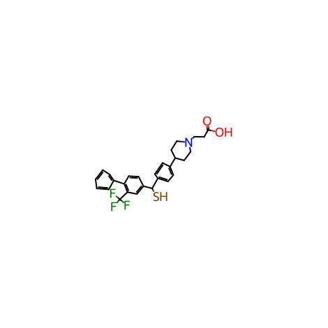 O=C(O)CCN1CCC(c2ccc(C(S)c3ccc(-c4ccccc4)c(C(F)(F)F)c3)cc2)CC1